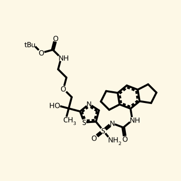 CC(C)(C)OC(=O)NCCOCC(C)(O)c1ncc(S(N)(=O)=NC(=O)Nc2c3c(cc4c2CCC4)CCC3)s1